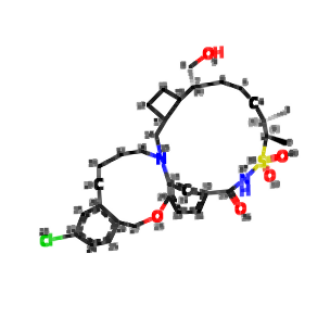 C[C@@H]1[C@@H](C)CCC[C@@H](CO)C2CCC2CN2CCCCc3cc(Cl)ccc3COc3ccc(cc32)C(=O)NS1(=O)=O